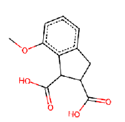 COc1cccc2c1C(C(=O)O)C(C(=O)O)C2